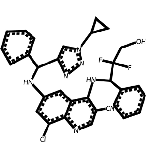 N#Cc1cnc2c(Cl)cc(NC(c3ccccc3)c3cn(C4CC4)nn3)cc2c1NC(c1ccccc1)C(F)(F)CO